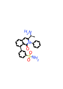 C[C@H](N)c1cc2cccc(-c3cccc(S(N)(=O)=O)c3)c2c(=O)n1-c1ccccc1